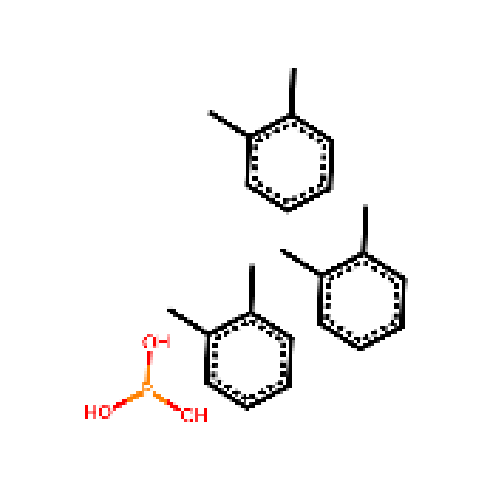 Cc1ccccc1C.Cc1ccccc1C.Cc1ccccc1C.OP(O)O